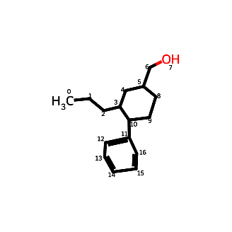 CCCC1CC(CO)CCC1c1ccccc1